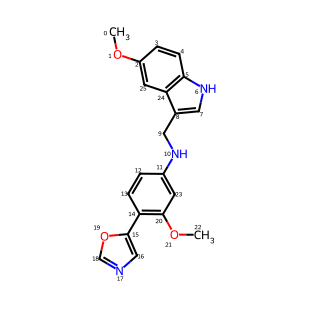 COc1ccc2[nH]cc(CNc3ccc(-c4cnco4)c(OC)c3)c2c1